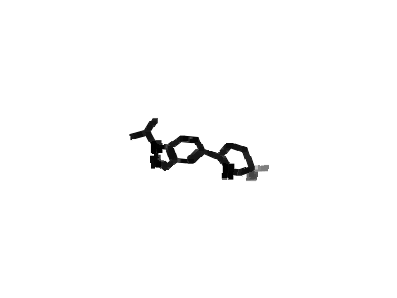 CC(C)n1ncc2cc(C3=NC[C@@H](C)CC3)ccc21